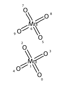 [O]=[Mn](=[O])(=[O])=[O].[O]=[Mn](=[O])(=[O])=[O]